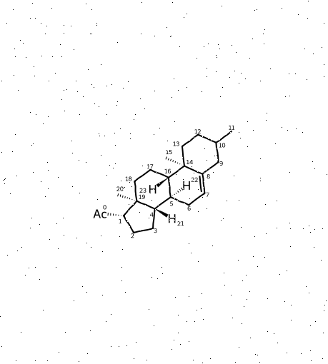 CC(=O)[C@H]1CC[C@H]2[C@@H]3CC=C4CC(C)CC[C@]4(C)[C@H]3CC[C@]12C